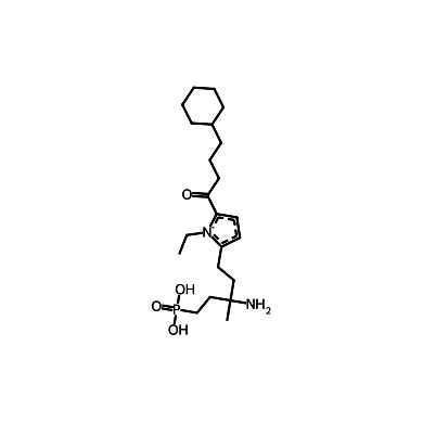 CCn1c(CCC(C)(N)CCP(=O)(O)O)ccc1C(=O)CCCC1CCCCC1